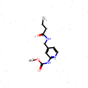 CC(C)(C)OC(=O)Nc1cc(CNC(=O)CCC(F)(F)F)ccn1